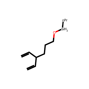 C=CC(C=C)CCCO[SiH2]CCC